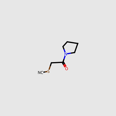 N#CSCC(=O)N1CCCC1